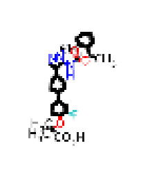 C[C@@H](OC(=O)Nc1c(-c2ccc(-c3ccc(OC(C)(C)C(=O)O)c(F)c3)cc2)cnn1C)c1ccccc1